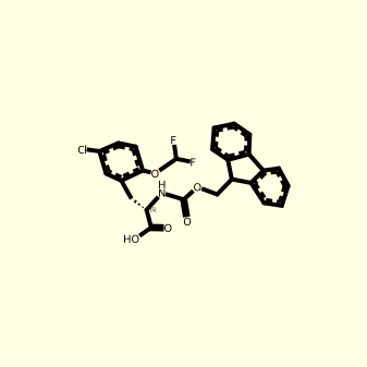 O=C(N[C@@H](Cc1cc(Cl)ccc1OC(F)F)C(=O)O)OCC1c2ccccc2-c2ccccc21